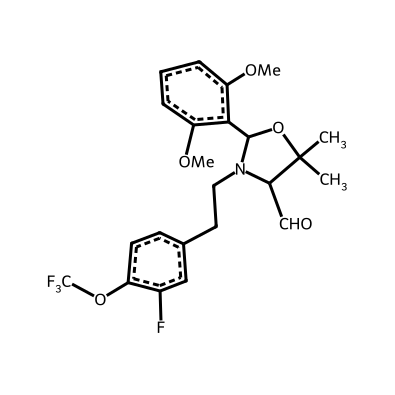 COc1cccc(OC)c1C1OC(C)(C)C(C=O)N1CCc1ccc(OC(F)(F)F)c(F)c1